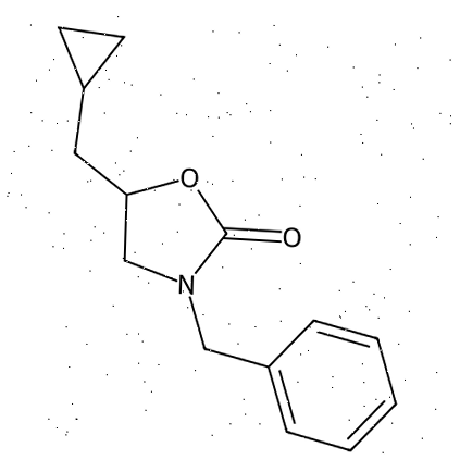 O=C1OC(CC2CC2)CN1Cc1ccccc1